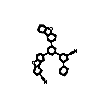 N#Cc1cc(-c2ccccc2)cc(-c2cc(-c3ccc4oc5ccccc5c4c3)cc(-c3ccc4oc5ccc(C#N)cc5c4c3)c2)c1